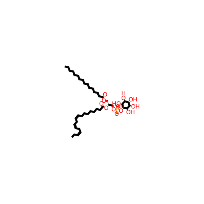 CC/C=C\C/C=C\C/C=C\CCCCCCCC(=O)O[C@H](COC(=O)CCCCCCCCCCCCCCC)COP(=O)(O)OC1[C@H](O)[C@H](O)C(O)[C@H](O)[C@H]1O